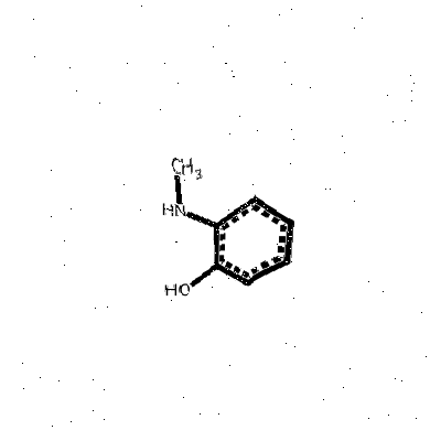 CNc1[c]cccc1O